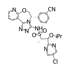 CC(C)O[C@@H](c1ncc(Cl)cn1)[C@H](C)S(=O)(=O)Nc1nnc2n1[C@@H](c1cccc(C#N)c1)COc1ncccc1-2